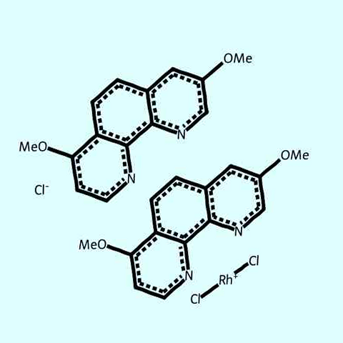 COc1cnc2c(ccc3c(OC)ccnc32)c1.COc1cnc2c(ccc3c(OC)ccnc32)c1.[Cl-].[Cl][Rh+][Cl]